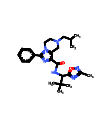 Cc1noc(C(NC(=O)c2nc(-c3ccccc3)n3c2CN(CC(C)C)CC3)C(C)(C)C)n1